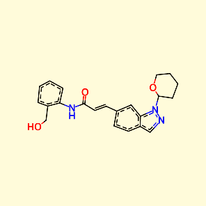 O=C(/C=C/c1ccc2cnn(C3CCCCO3)c2c1)Nc1ccccc1CO